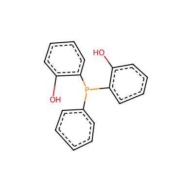 Oc1ccccc1P(c1ccccc1)c1ccccc1O